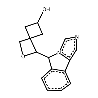 OC1CC2(COC2C2c3ccccc3-c3cncn32)C1